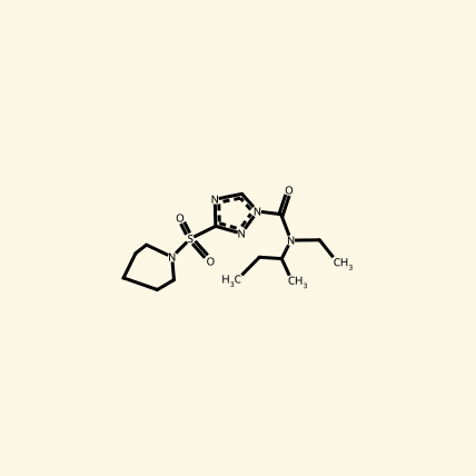 CCC(C)N(CC)C(=O)n1cnc(S(=O)(=O)N2CCCCC2)n1